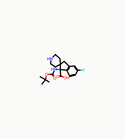 CC(C)(C)OC(=O)N[C@]1(C(=O)O)c2ccc(F)cc2CC12CCNCC2